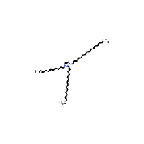 CCCCCCCCCCCCCCCCn1cc[n+](CCCCCCCCCC)c1CCCCCCCCCCCCCC